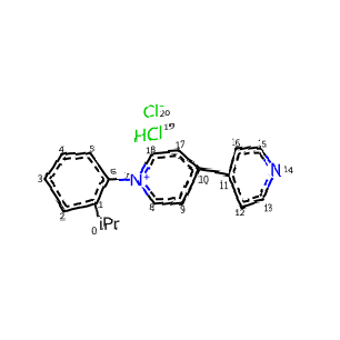 CC(C)c1ccccc1-[n+]1ccc(-c2ccncc2)cc1.Cl.[Cl-]